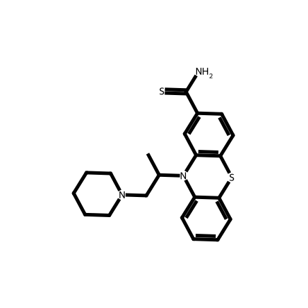 CC(CN1CCCCC1)N1c2ccccc2Sc2ccc(C(N)=S)cc21